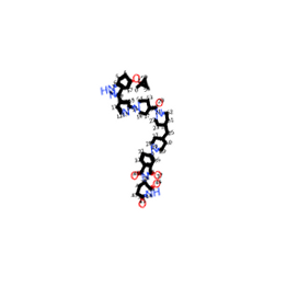 CC1(Oc2ccc3[nH]nc(-c4ccnc(N5CCC(C(=O)N6CCC(CC7CCN(c8ccc9c(c8)C(=O)N(C8CCC(=O)NC8=O)C9=O)CC7)CC6)CC5)c4)c3c2)CC1